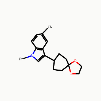 CC(C)n1cc(C2CCC3(CC2)OCCO3)c2cc(C#N)ccc21